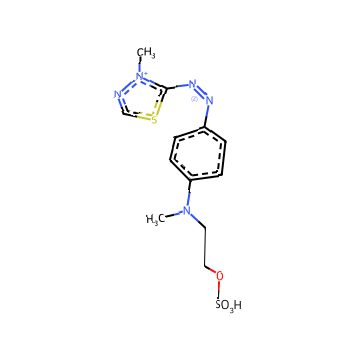 CN(CCOS(=O)(=O)O)c1ccc(/N=N\c2scn[n+]2C)cc1